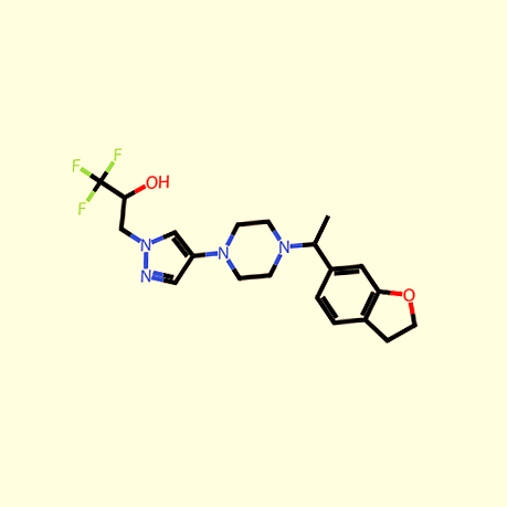 CC(c1ccc2c(c1)OCC2)N1CCN(c2cnn(CC(O)C(F)(F)F)c2)CC1